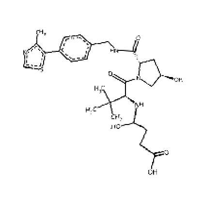 Cc1ncsc1-c1ccc(CNC(=O)[C@@H]2C[C@@H](O)CN2C(=O)[C@@H](NC(O)CCC(=O)O)C(C)(C)C)cc1